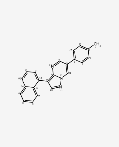 Cc1ccc(-c2cnc3c(-c4ccnc5ccccc45)cnn3c2)cc1